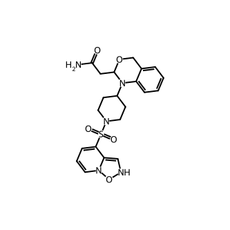 NC(=O)CC1OCc2ccccc2N1C1CCN(S(=O)(=O)C2=CC=CN3ONC=C23)CC1